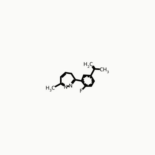 C=C(C)c1ccc(F)c(C2=NN=C(C)C=CC2)c1